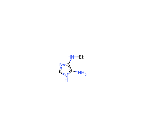 CCNc1nc[nH]c1N